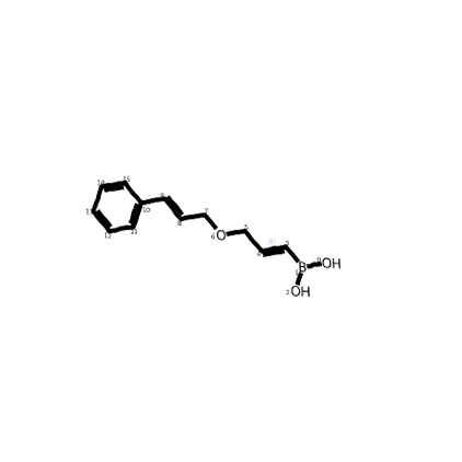 OB(O)/C=C/COCC=Cc1ccccc1